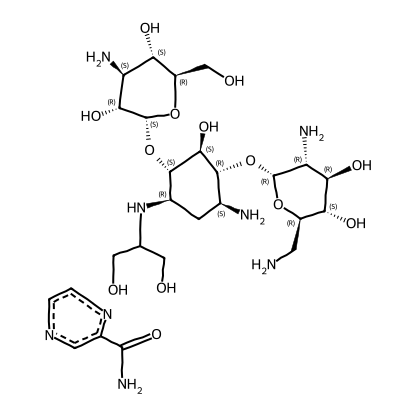 NC(=O)c1cnccn1.NC[C@H]1O[C@H](O[C@H]2[C@H](O)[C@@H](O[C@H]3O[C@H](CO)[C@@H](O)[C@H](N)[C@H]3O)[C@H](NC(CO)CO)C[C@@H]2N)[C@H](N)[C@@H](O)[C@@H]1O